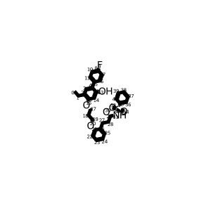 CCc1cc(-c2ccc(F)cc2)c(O)cc1OCCCOc1ccccc1CCC(=O)NS(=O)(=O)c1ccccc1